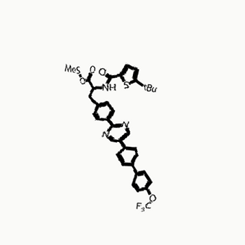 CSOC(=O)C(Cc1ccc(-c2ncc(-c3ccc(-c4ccc(OC(F)(F)F)cc4)cc3)cn2)cc1)NC(=O)c1ccc(C(C)(C)C)s1